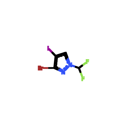 FC(F)n1cc(I)c(Br)n1